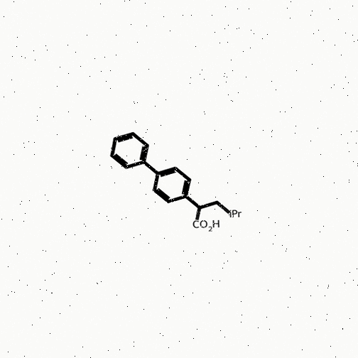 CC(C)CC(C(=O)O)c1ccc(-c2ccccc2)cc1